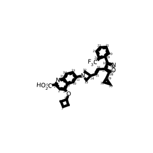 O=C(O)c1cc(OC2CCC2)c2cc(N3CC(/C=C/c4c(-c5ccccc5C(F)(F)F)noc4C4CC4)C3)ccc2n1